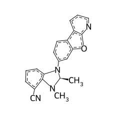 C[C@H]1N(C)c2c(C#N)cccc2N1c1ccc2c(c1)oc1ncccc12